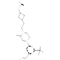 COCc1cc(N2CCN(CCC3CC(NC(C)=O)C3)C(C)C2)nc(C(C)(C)C)n1